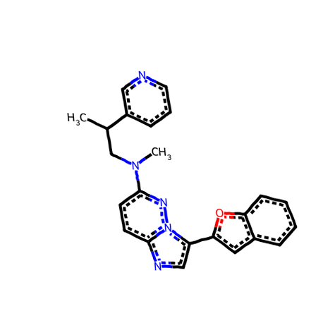 CC(CN(C)c1ccc2ncc(-c3cc4ccccc4o3)n2n1)c1cccnc1